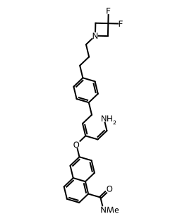 CNC(=O)c1cccc2cc(OC(/C=C\N)=C/Cc3ccc(CCCN4CC(F)(F)C4)cc3)ccc12